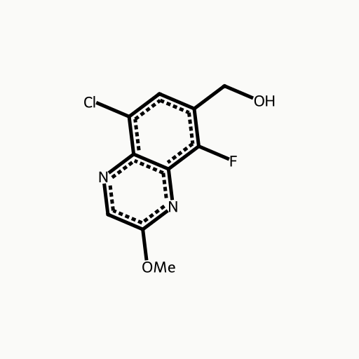 COc1cnc2c(Cl)cc(CO)c(F)c2n1